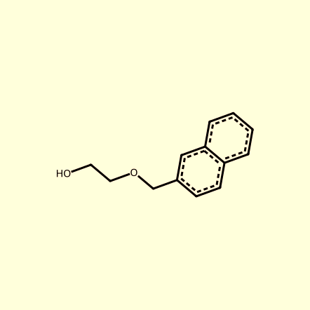 OCCOCc1ccc2ccccc2c1